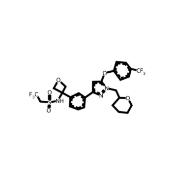 O=S(=O)(CC(F)(F)F)NC1(c2cccc(-c3cc(Oc4ccc(C(F)(F)F)cc4)n(CC4CCCCO4)n3)c2)COC1